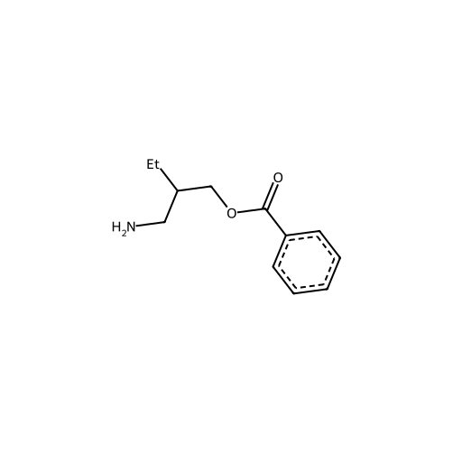 CCC(CN)COC(=O)c1ccccc1